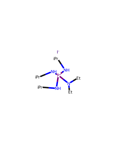 CCN(CC)[P+](NC(C)C)(NC(C)C)NC(C)C.[I-]